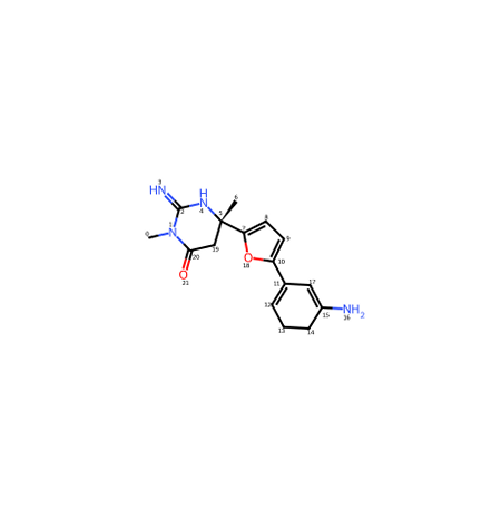 CN1C(=N)N[C@](C)(c2ccc(C3=CCCC(N)=C3)o2)CC1=O